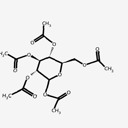 CC(=O)OC[C@H]1OC(OC(C)=O)[C@H](OC(C)=O)[C@@H](OC(C)=O)[C@@H]1OC(C)=O